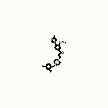 COc1cc(C(=O)/C=C/N2CCN(Cc3ccc(F)cc3F)CC2)ccc1-n1cnc(C)c1